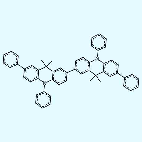 CC1(C)c2cc(-c3ccccc3)ccc2N(c2ccccc2)c2ccc(-c3ccc4c(c3)C(C)(C)c3cc(-c5ccccc5)ccc3N4c3ccccc3)cc21